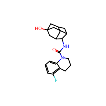 O=C(NC1C2CC3CC1CC(O)(C3)C2)N1CCCc2c(F)cccc21